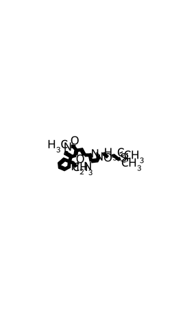 CCC1(c2cn(C)c(=O)c3cc(-c4nn(COCC[Si](C)(C)C)cc4N)oc23)C=CC=CC1